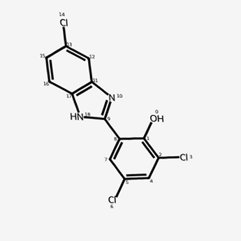 Oc1c(Cl)cc(Cl)cc1-c1nc2cc(Cl)ccc2[nH]1